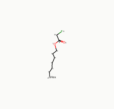 CCCCCCCCCCCCOC(=O)CF